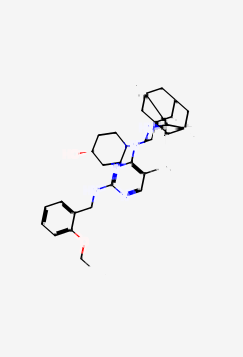 N#Cc1cnc(NCc2ccccc2OCC(F)(F)F)nc1NC[C@]12CC3C[C@H](C1)[C@@H](NC[C@H]1CC[C@H](O)CC1)[C@@H](C3)C2